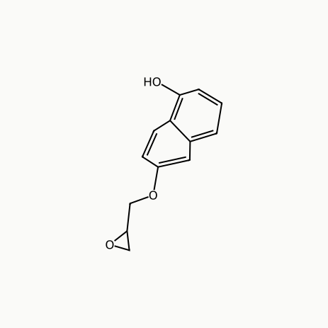 Oc1cccc2cc(OCC3CO3)ccc12